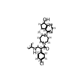 CC(C)NCC(C(=O)N1CCCN(c2ncnc3c2[C@H](C)C[C@H]3O)CC1)c1ccc(Cl)cc1